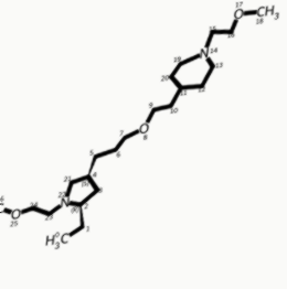 CC[C@@H]1C[C@H](CCCOCCC2CCN(CCOC)CC2)CN1CCOC